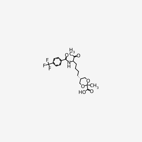 CC(=O)C(CCCC[C@H]1CO[C@@](C)(C(=O)O)OC1)NC(=O)c1ccc(C(F)(F)F)cc1